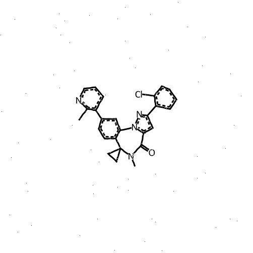 Cc1ncccc1-c1ccc2c(c1)-n1nc(-c3ccccc3Cl)cc1C(=O)N(C)C21CC1